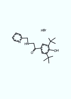 Br.CC(C)(C)c1cc(C(=O)CNCc2ccccn2)cc(C(C)(C)C)c1O